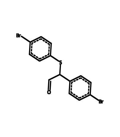 O=CC(Sc1ccc(Br)cc1)c1ccc(Br)cc1